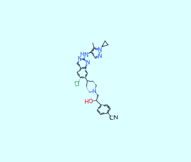 Cc1c(Nc2ncc3cc(Cl)c(C4CCN(CC(O)c5ccc(C#N)cc5)CC4)cc3n2)cnn1C1CC1